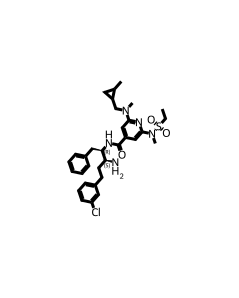 CCS(=O)(=O)N(C)c1cc(C(=O)N[C@H](Cc2ccccc2)[C@@H](N)CCc2cccc(Cl)c2)cc(N(C)CC2CC2C)n1